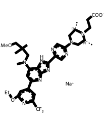 CCOc1cc(-c2cc(N(C)CC(C)(C)COC)c3[nH]c(-c4cnc(N5C[C@@H](C)N(CCC(=O)[O-])[C@@H](C)C5)cn4)nc3n2)cc(C(F)(F)F)n1.[Na+]